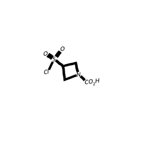 O=C(O)N1CC(S(=O)(=O)Cl)C1